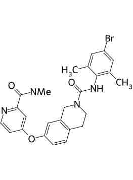 CNC(=O)c1cc(Oc2ccc3c(c2)CN(C(=O)Nc2c(C)cc(Br)cc2C)CC3)ccn1